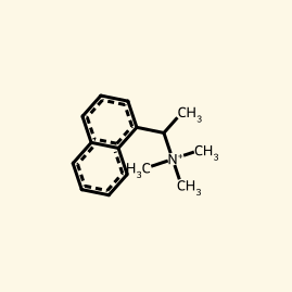 CC(c1cccc2ccccc12)[N+](C)(C)C